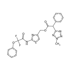 Cn1nnc(C(C(=O)OCc2csc(NC(=O)C(F)(F)Oc3ccccc3)n2)c2ccccc2)n1